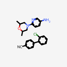 CC1CN(c2ccc(N)cn2)CC(C)O1.N#Cc1ccc(-c2ccccc2Cl)cc1